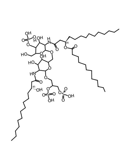 CCCCCCCCCCCC(=O)O[C@H](CCCCCCCCCCC)CC(=O)NC1C(OCC2OC(OCC(COS(=O)(=O)O)OS(=O)(=O)O)C(NC(=O)C[C@H](O)CCCCCCCCCCC)C(O)C2O)OC(CO)C(OP(=O)(O)O)C1O